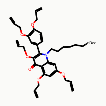 C=CCOc1cc(OCC=C)c2c(=O)c(OCC=C)c(-c3ccc(OCC=C)c(OCC=C)c3)n(CCCCCCCCCCCCCCCC)c2c1